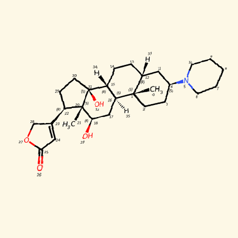 C[C@]12CC[C@H](N3CCCCC3)C[C@H]1CC[C@@H]1[C@@H]2C[C@@H](O)[C@]2(C)[C@@H](C3=CC(=O)OC3)CC[C@]12O